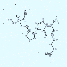 CCOP(=O)(CO[C@@H]1CCC[C@H]1n1cnc2c(N)nc(OCCOC)nc21)OCC